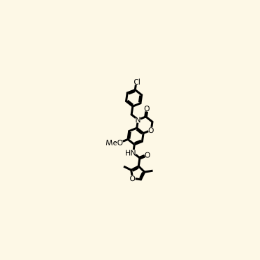 COc1cc2c(cc1NC(=O)c1c(C)coc1C)OCC(=O)N2Cc1ccc(Cl)cc1